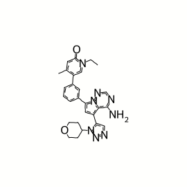 CCn1cc(-c2cccc(-c3cc(-c4cnnn4C4CCOCC4)c4c(N)ncnn34)c2)c(C)cc1=O